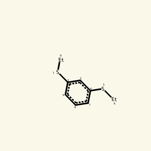 CCSc1[c]c(SCC)ccc1